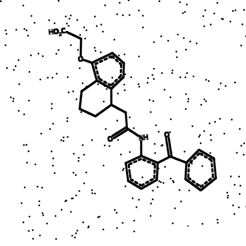 O=C(O)COc1cccc2c1CCCC2CC(=O)Nc1ccccc1C(=O)c1ccccc1